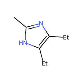 CCc1nc(C)[nH]c1CC